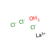 O.[Cl-].[Cl-].[Cl-].[La+3]